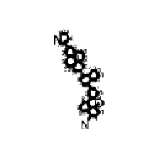 N#Cc1ccc2c3c(cccc13)-c1cc(-c3ccc(-c4cc5ccc6cc(-c7cccnc7)cc7ccc(c4)c5c67)c4ccccc34)ccc1O2